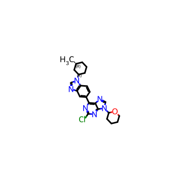 C[C@@H]1CCC[C@@H](n2cnc3cc(-c4nc(Cl)nc5c4ncn5C4CCCCO4)ccc32)C1